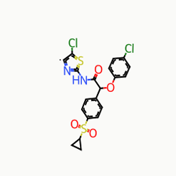 O=C(Nc1n[c]c(Cl)s1)C(Oc1ccc(Cl)cc1)c1ccc(S(=O)(=O)C2CC2)cc1